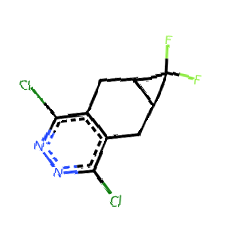 FC1(F)C2Cc3c(Cl)nnc(Cl)c3CC21